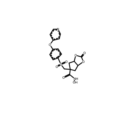 O=C1OC2CC(CS(=O)(=O)c3ccc(Oc4ccncc4)cc3)(C(=O)NO)CC2O1